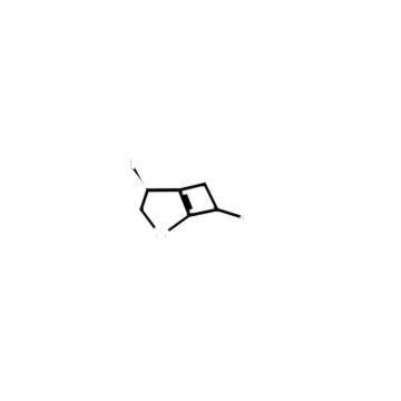 CC1CC2=C1OC[C@H]2I